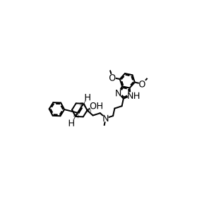 COc1ccc(OC)c2[nH]c(CCCN(C)CC[C@]3(O)C[C@H]4CC[C@@H]3C=C4c3ccccc3)nc12